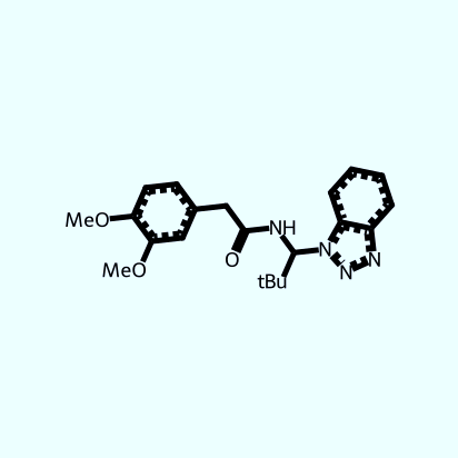 COc1ccc(CC(=O)NC(n2nnc3ccccc32)C(C)(C)C)cc1OC